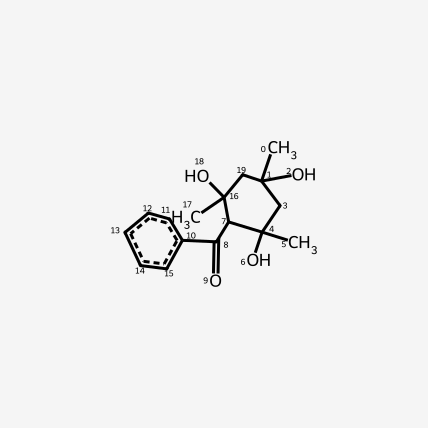 CC1(O)CC(C)(O)C(C(=O)c2ccccc2)C(C)(O)C1